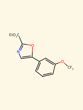 CCOC(=O)c1ncc(-c2cccc(OC(F)(F)F)c2)o1